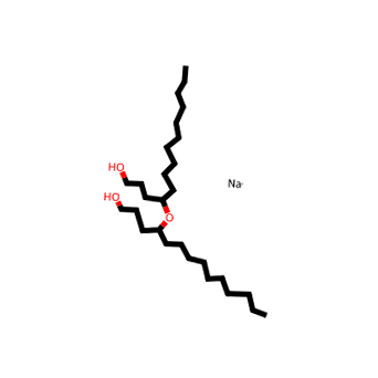 CCCCCCCCCCC(CCCO)OC(CCCO)CCCCCCCCCC.[Na]